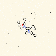 c1ccc(-c2ccc(N(c3cccc(-c4cccc5ccccc45)c3)c3ccccc3-c3cccc(N(c4ccc(-c5ccccc5)cc4)c4cccc5c4oc4c6ccccc6ccc54)c3)cc2)cc1